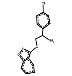 NC(COc1noc2ccccc12)c1ccc(O)cc1